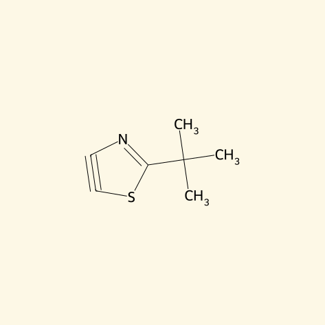 CC(C)(C)c1nc#cs1